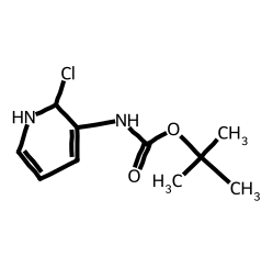 CC(C)(C)OC(=O)NC1=CC=CNC1Cl